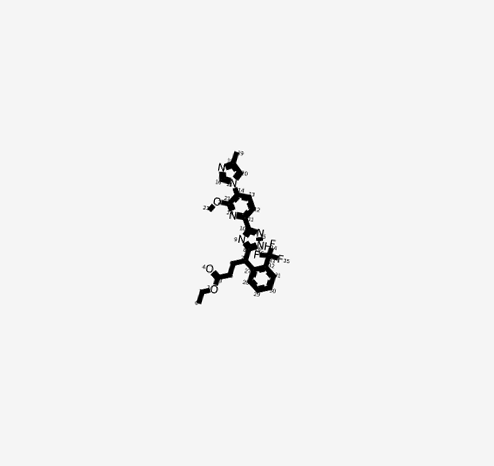 CCOC(=O)CCC(c1nc(-c2ccc(-n3cnc(C)c3)c(OC)n2)n[nH]1)c1ccccc1C(F)(F)F